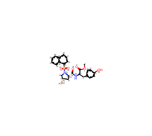 COC(=O)C(Cc1ccc(O)cc1)NC(=O)[C@@H]1C[C@H](S)CN1S(=O)(=O)c1cccc2ccccc12